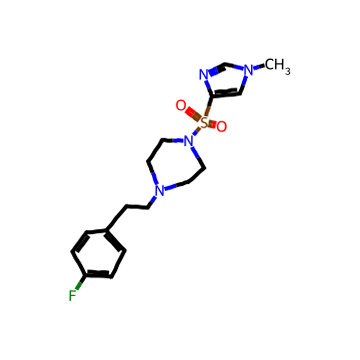 Cn1cnc(S(=O)(=O)N2CCN(CCc3ccc(F)cc3)CC2)c1